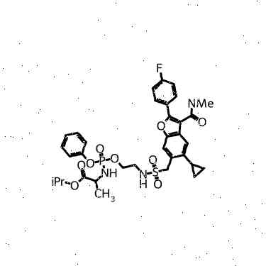 CNC(=O)c1c(-c2ccc(F)cc2)oc2cc(CS(=O)(=O)NCCOP(=O)(NC(C)C(=O)OC(C)C)Oc3ccccc3)c(C3CC3)cc12